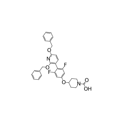 O=C(O)N1CCC(Oc2cc(F)c(-c3ccc(OCc4ccccc4)nc3OCc3ccccc3)c(F)c2)CC1